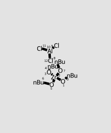 CCCC[O][Zr]([O]CCCC)([O]CCCC)[O]CCCC.[Cl][Al]([Cl])[Cl]